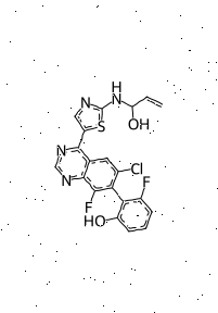 C=CC(O)Nc1ncc(-c2ncnc3c(F)c(-c4c(O)cccc4F)c(Cl)cc23)s1